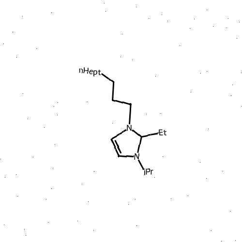 CCCCCCCCCCN1C=CN(C(C)C)C1CC